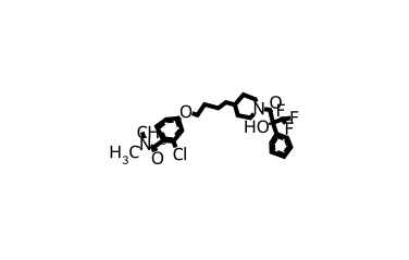 CN(C)C(=O)c1ccc(OCCCCC2CCN(C(=O)[C@@](O)(c3ccccc3)C(F)(F)F)CC2)cc1Cl